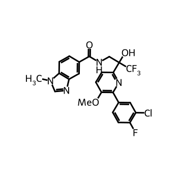 COc1ccc(C(O)(CNC(=O)c2ccc3c(c2)ncn3C)C(F)(F)F)nc1-c1ccc(F)c(Cl)c1